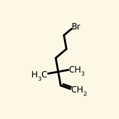 C=CC(C)(C)CCCBr